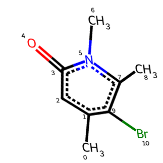 Cc1cc(=O)n(C)c(C)c1Br